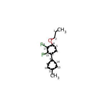 CCCOc1ccc(-c2ccc(C)cc2)c(F)c1F